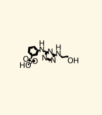 O=S(=O)(O)c1cccc(Nc2n[c]nc(NCCO)n2)c1